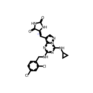 O=C1NC(=O)/C(=C/c2cnn3c(NC4CC4)nc(NCc4ccc(Cl)cc4Cl)nc23)N1